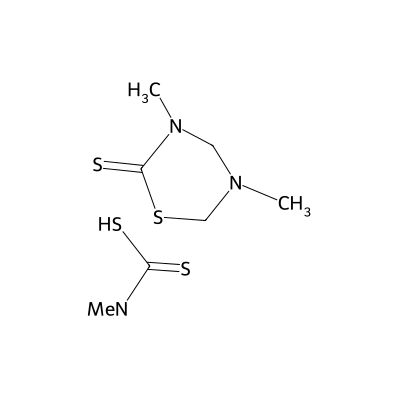 CN1CSC(=S)N(C)C1.CNC(=S)S